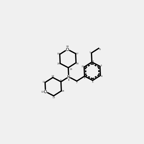 CCc1cccc(CN(C2CCOCC2)C2CCOCC2)c1